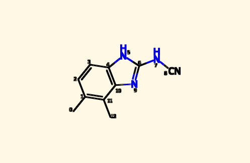 Cc1ccc2[nH]c(NC#N)nc2c1C